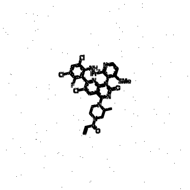 C=CC(=O)N1CCN(c2nc(=O)n(-c3c(SC)ccnc3C(C)C)c3nc(-c4c(N)c(Cl)cc(Cl)c4F)c(Cl)cc23)C(C)C1